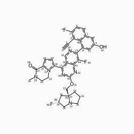 C#Cc1c(F)ccc2cc(O)cc(-c3ncc4c(-c5ccc6n5CCN(C)C6=O)nc(OC[C@@]56CCCN5C[C@H](F)C6)nc4c3F)c12